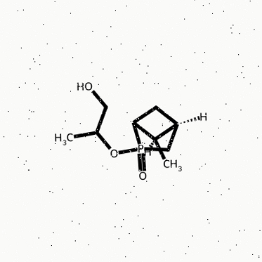 CC(CO)OP1(=O)C[C@@H]2CC1[C@@H]2C